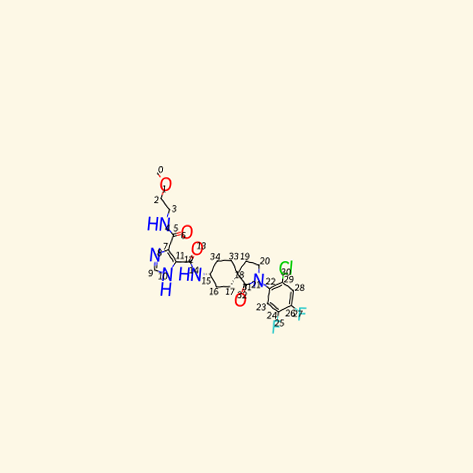 COCCNC(=O)c1nc[nH]c1C(=O)N[C@H]1CC[C@@]2(CCN(c3cc(F)c(F)cc3Cl)C2=O)CC1